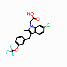 Cc1c(Cc2cccc(OC(F)(F)F)c2)c2ccc(Cl)cc2n1CC(=O)O